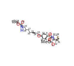 COC(=O)[C@@H]1N(S(=O)(=O)c2ccc(OCC#CCCCCNC(=O)OC(C)(C)C)cc2)CCSC1(C)C